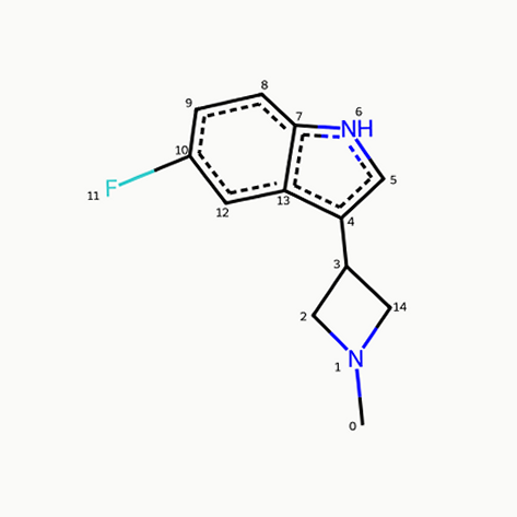 CN1CC(c2c[nH]c3ccc(F)cc23)C1